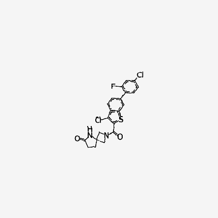 O=C1CCC2(CN(C(=O)c3sc4cc(-c5ccc(Cl)cc5F)ccc4c3Cl)C2)N1